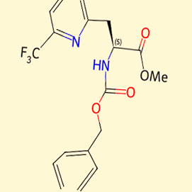 COC(=O)[C@H](Cc1cccc(C(F)(F)F)n1)NC(=O)OCc1ccccc1